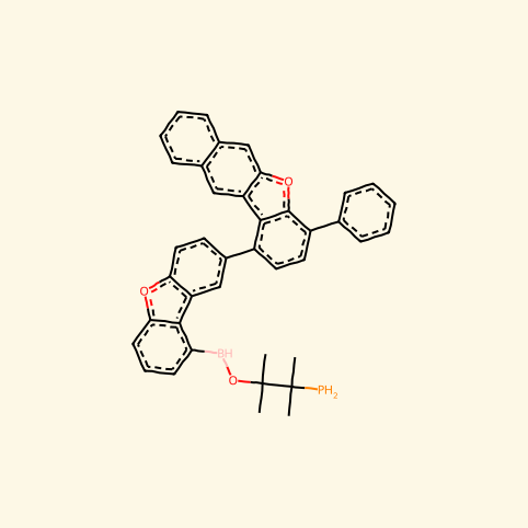 CC(C)(P)C(C)(C)OBc1cccc2oc3ccc(-c4ccc(-c5ccccc5)c5oc6cc7ccccc7cc6c45)cc3c12